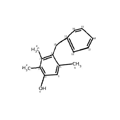 Cc1cc(O)c(C)c(C)c1Cc1ccccc1